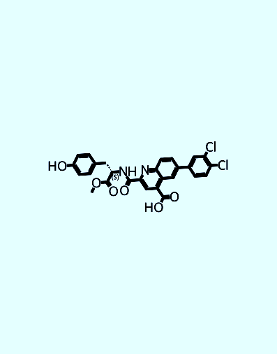 COC(=O)[C@H](Cc1ccc(O)cc1)NC(=O)c1cc(C(=O)O)c2cc(-c3ccc(Cl)c(Cl)c3)ccc2n1